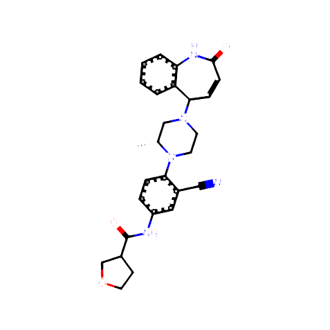 C[C@@H]1CN(C2C=CC(=O)Nc3ccccc32)CCN1c1ccc(NC(=O)C2CCOC2)cc1C#N